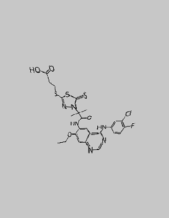 CCOc1cc2ncnc(Nc3ccc(F)c(Cl)c3)c2cc1NC(=O)C(C)(C)n1nc(SCCC(=O)O)sc1=S